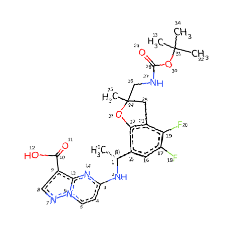 C[C@@H](Nc1ccn2ncc(C(=O)O)c2n1)c1cc(F)c(F)c2c1OC(C)(CNC(=O)OC(C)(C)C)C2